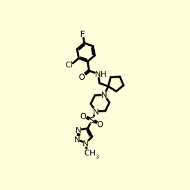 Cn1cc(S(=O)(=O)N2CCN(C3(CNC(=O)c4ccc(F)cc4Cl)CCCC3)CC2)nn1